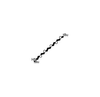 CC(C)(C)COCCOCCOCCCOCCOCCNC(C)(C)C